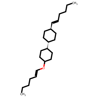 CCCC/C=C/OC1CCC([C@H]2CC[C@H](/C=C/CCCC)CC2)CC1